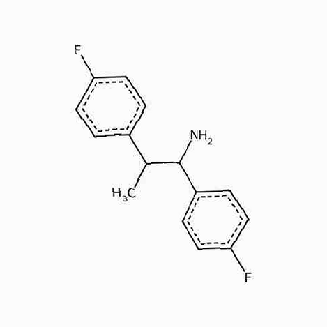 CC(c1ccc(F)cc1)C(N)c1ccc(F)cc1